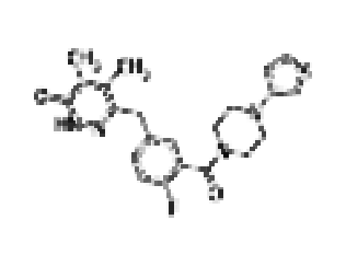 Cc1c(Cc2ccc(F)c(C(=O)N3CCN(c4ccsc4)CC3)c2)n[nH]c(=O)c1C